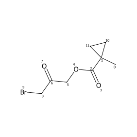 CC1(C(=O)OCC(=O)CBr)CC1